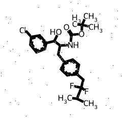 CC(C)C(F)(F)Cc1ccc(CC(NC(=O)OC(C)(C)C)C(O)c2cccc(Cl)c2)cc1